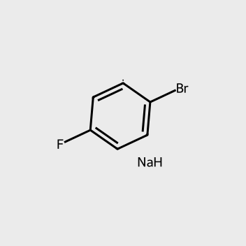 Fc1c[c]c(Br)cc1.[NaH]